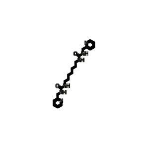 O=C(NCCCCCCCNC(=O)NCc1ccccn1)NCc1ccccn1